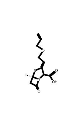 C=CCSCC=C1S[C@@H]2CC(=O)N2C1C(=O)O